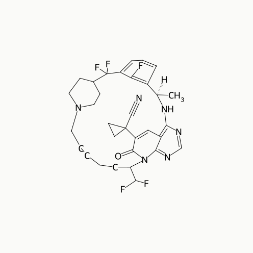 C[C@H]1Nc2ncnc3c2cc(C2(C#N)CC2)c(=O)n3C(C(F)F)CCCCCN2CCC(CC2)C(F)(F)c2cccc1c2F